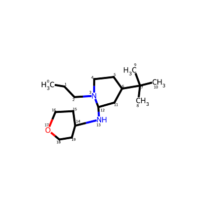 CCCN1CCC(C(C)(C)C)CC1NC1CCOCC1